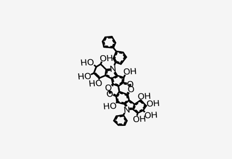 OC1=C(O)C(O)C(O)c2c1c1c3ooc4c5c(ooc(c3-5)c(O)c1n2-c1cccc(-c2ccccc2)c1)c1c2c(O)c(O)c(O)c(O)c2n(-c2ccccc2)c1c4O